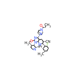 C=CC(=O)N1CC2CCC1CN2c1nc(=O)n(-c2c(C)ccnc2C(C)C)c2nc(-c3cc(C)ccc3F)c(C#N)cc12